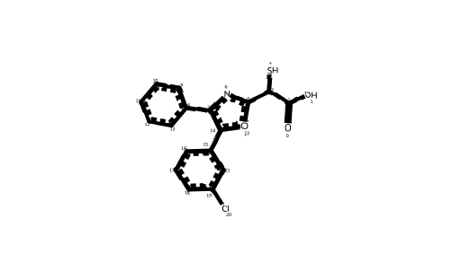 O=C(O)C(S)c1nc(-c2ccccc2)c(-c2cccc(Cl)c2)o1